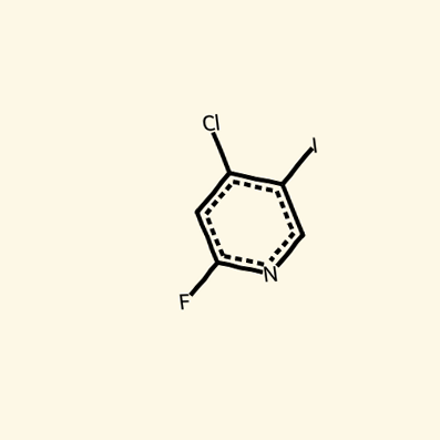 Fc1cc(Cl)c(I)cn1